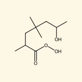 CC(O)CC(C)(C)CC(C)C(=O)OO